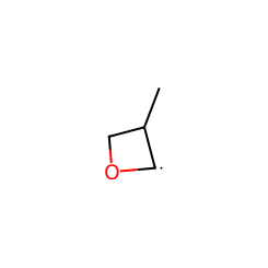 CC1[CH]OC1